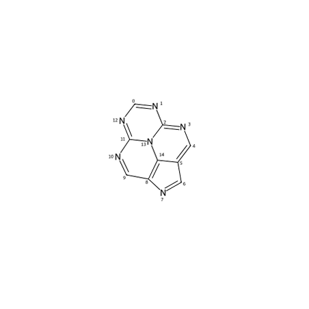 c1nc2ncc3cnc4cnc(n1)n2c34